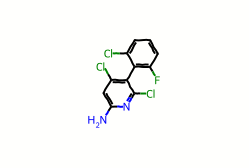 Nc1cc(Cl)c(-c2c(F)cccc2Cl)c(Cl)n1